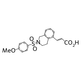 COc1ccc(S(=O)(=O)N2CCc3c(/C=C/C(=O)O)cccc3C2)cc1